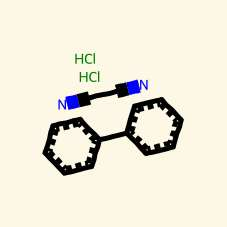 Cl.Cl.N#CC#N.c1ccc(-c2ccccc2)cc1